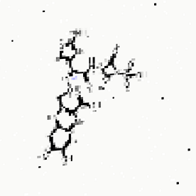 C[C@@H]1[C@H](NC(=O)/C(=N\OCc2nc3cc(O)c(O)cc3nc2C(=O)O)c2csc(N)n2)C(=O)N1S(=O)(=O)O